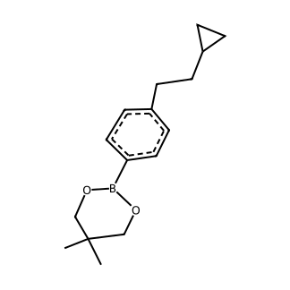 CC1(C)COB(c2ccc(CCC3CC3)cc2)OC1